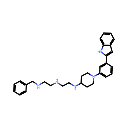 c1ccc(CNCCNCCNC2CCN(c3cccc(-c4cc5ccccc5[nH]4)c3)CC2)cc1